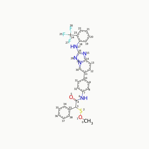 COSC(C(=O)Nc1ccc(-c2ccc3nc(Nc4ccccc4C(F)(F)F)nn3c2)cc1)c1ccccc1